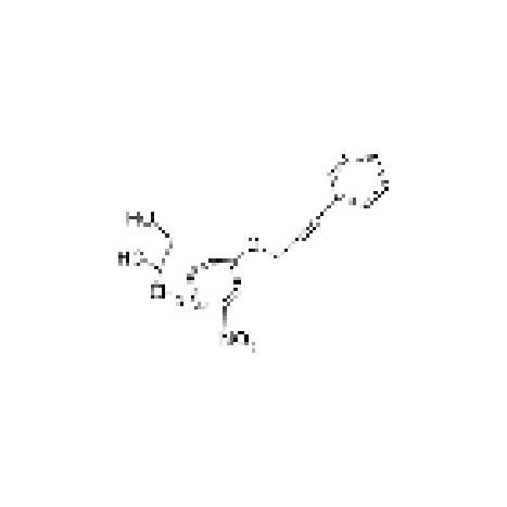 CC(O)(CO)c1cc(OCC#Cc2ccccc2)cc([N+](=O)[O-])c1